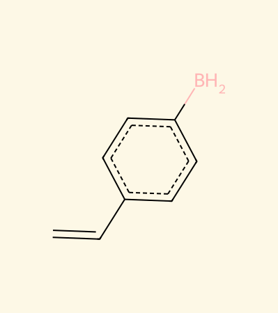 Bc1ccc(C=C)cc1